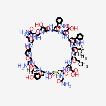 CCCC[C@H]1C(=O)N(C)[C@@H](CCCC)C(=O)N[C@@H](CCC(=O)O)C(=O)N[C@H](C(=O)NCC(N)=O)CSCC(=O)N[C@@H](Cc2ccc(O)cc2)C(=O)N(C)[C@@H](C)C(=O)N[C@@H](CC(N)=O)C(=O)N2CCC[C@H]2C(=O)N[C@@H](Cc2cnc[nH]2)C(=O)N[C@@H](CCC(N)=O)C(=O)N2C[C@H](O)C[C@H]2C(=O)N[C@@H](Cc2c[nH]c3ccccc23)C(=O)N[C@@H](CCC(=O)O)C(=O)N[C@@H](Cc2c[nH]c3ccccc23)C(=O)N1C